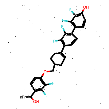 CCCC(O)c1ccc(OCC2CC=C(c3ccc(-c4ccc(O)c(F)c4F)c(F)c3F)CC2)c(F)c1F